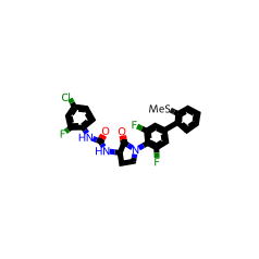 CSc1ccccc1-c1cc(F)c(N2CCC(NC(=O)Nc3ccc(Cl)cc3F)C2=O)c(F)c1